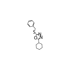 c1ccc(CSc2nnc(C3CCCCC3)o2)cc1